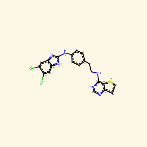 Clc1cc2nc(Nc3ccc(CCNc4ncnc5ccsc45)cc3)[nH]c2cc1Cl